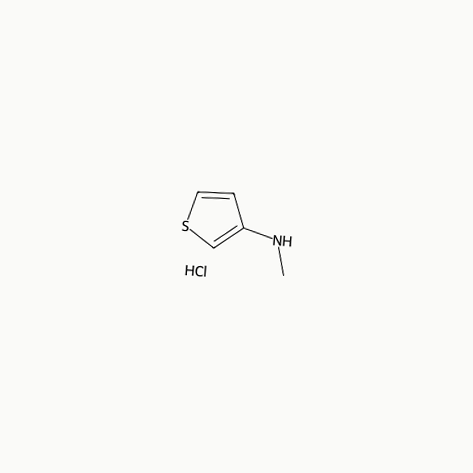 CNc1ccsc1.Cl